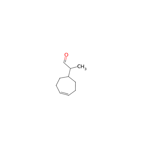 CC(C=O)C1CCC=CCC1